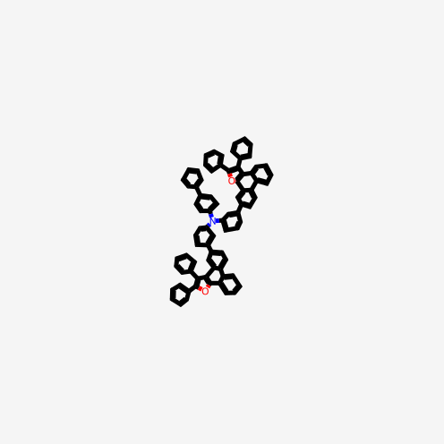 c1ccc(-c2ccc(N(c3cccc(-c4ccc5c6ccccc6c6c(-c7ccccc7)c(-c7ccccc7)oc6c5c4)c3)c3cccc(-c4ccc5c6ccccc6c6oc(-c7ccccc7)c(-c7ccccc7)c6c5c4)c3)cc2)cc1